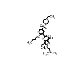 CCCCOc1ncc(S(=O)(=O)N2CCN(CC)CC2)cc1-c1nc2c(CC)n(CCN(C)C)nc2c(=O)[nH]1